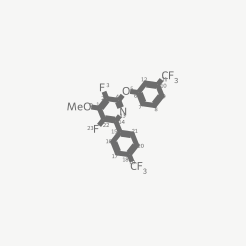 COc1c(F)c(Oc2cccc(C(F)(F)F)c2)nc(-c2ccc(C(F)(F)F)cc2)c1F